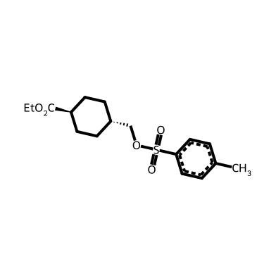 CCOC(=O)[C@H]1CC[C@H](COS(=O)(=O)c2ccc(C)cc2)CC1